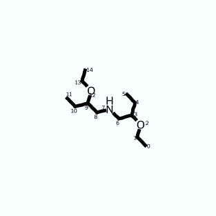 CCOC(CC)CNCC(CC)OCC